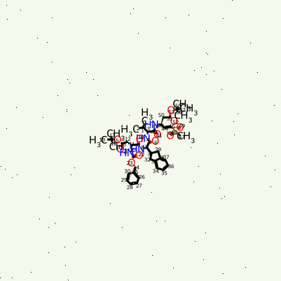 CC(C)[C@H](NC(=O)C(NC(=O)[C@H](CC(=O)OC(C)(C)C)NC(=O)OCc1ccccc1)C1Cc2ccccc2C1)C(=O)N[C@H](/C=C/S(C)(=O)=O)CC(=O)OC(C)(C)C